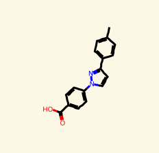 Cc1ccc(-c2ccn(-c3ccc(C(=O)O)cc3)n2)cc1